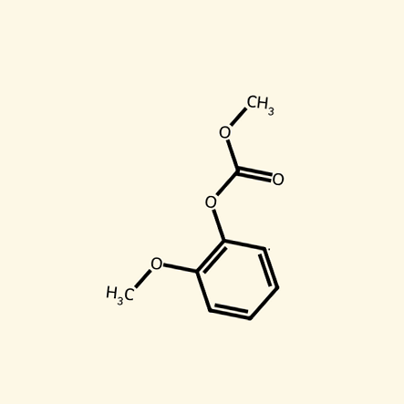 COC(=O)Oc1[c]cccc1OC